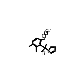 Cc1ccc(C)c(C(C)(C)[C]2([Ti+3])C=CC=C2)c1C.[Cl-].[Cl-].[Cl-]